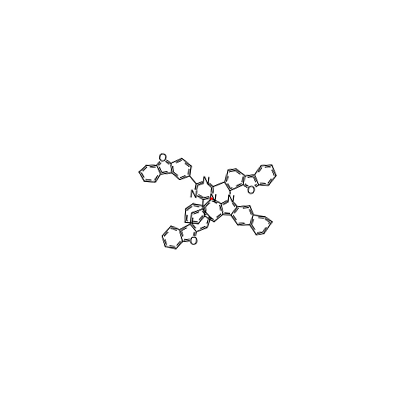 c1ccc2cc3c(cc2c1)c1cc2ccccc2cc1n3-c1c(-c2nc(-c3ccc4oc5ccccc5c4c3)nc(-c3ccc4oc5ccccc5c4c3)n2)ccc2c1oc1ccccc12